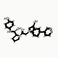 CC(=O)c1cn(CC(=O)N2CCCC2[C@H](O)Nc2ccc(O)cc2)c2ccc(-c3ccnnc3)cc12